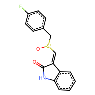 O=C1Nc2ccccc2C1=C[S+]([O-])Cc1ccc(F)cc1